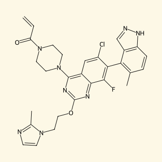 C=CC(=O)N1CCN(c2nc(OCCn3ccnc3C)nc3c(F)c(-c4c(C)ccc5[nH]ncc45)c(Cl)cc23)CC1